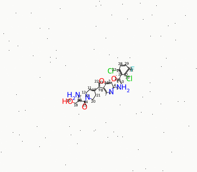 C[C@@H](Oc1c(N)ncc2c(C3=CCN(C(=O)[C@@H](N)CO)CC3)coc12)c1c(Cl)ccc(F)c1Cl